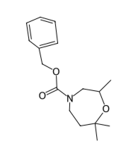 CC1CN(C(=O)OCc2ccccc2)CCC(C)(C)O1